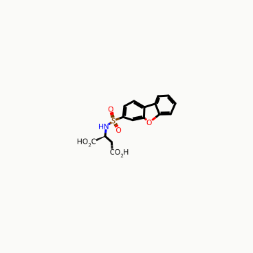 O=C(O)C[C@H](NS(=O)(=O)c1ccc2c(c1)oc1ccccc12)C(=O)O